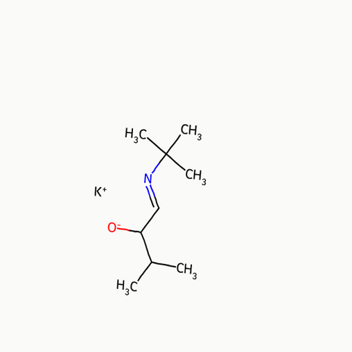 CC(C)C([O-])C=NC(C)(C)C.[K+]